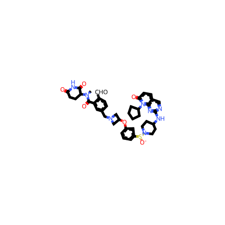 CN(C(=O)c1cc(CN2CC(Oc3cccc([S+]([O-])N4CCC(Nc5ncc6ccc(=O)n(C7CCCC7)c6n5)CC4)c3)C2)ccc1C=O)C1CCC(=O)NC1=O